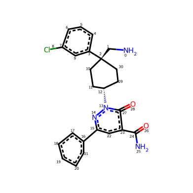 NC[C@]1(c2cccc(Cl)c2)CC[C@@H](n2nc(-c3ccccc3)cc(C(N)=O)c2=O)CC1